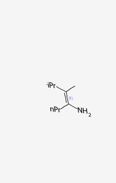 CCC/C(N)=C(/C)[C](C)C